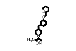 Cc1oncc1N1CCC(=Cc2cccc(OCC3CCCCO3)c2)CC1